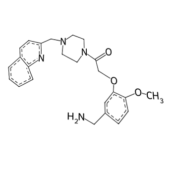 COc1ccc(CN)cc1OCC(=O)N1CCN(Cc2ccc3ccccc3n2)CC1